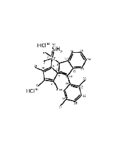 CC1=C(C)C(C)[C]([Zr]([CH3])([CH3])(=[SiH2])[CH]2C=C(c3cc(C)ccc3C)c3ccccc32)=C1C.Cl.Cl